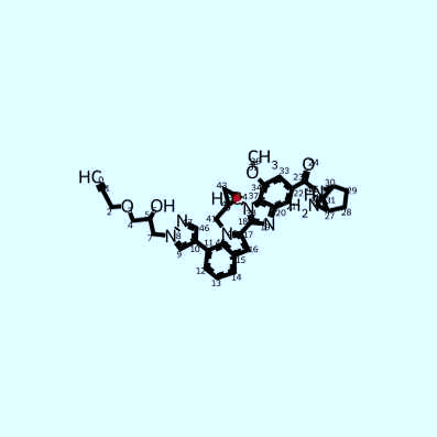 C#CCOCC(O)Cn1cc(-c2cccc3cc(-c4nc5cc(C(=O)N6CC7CCC6[C@@H]7N)cc(OC)c5n4C)n(CC4CC4)c23)cn1